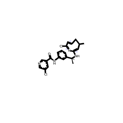 CC1\C=C(N[C@@H](C)c2cccc(NC(=O)c3cncc(Cl)c3)c2)/N=C(Cl)\C=C\C1